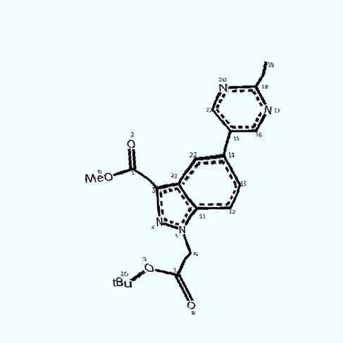 COC(=O)c1nn(CC(=O)OC(C)(C)C)c2ccc(-c3cnc(C)nc3)cc12